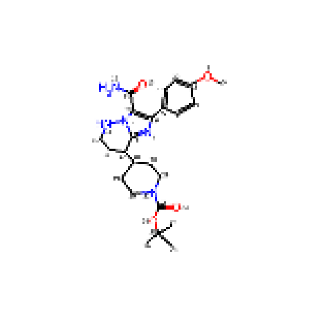 COc1ccc(-c2nc3n(c2C(N)=O)NCCC3C2CCN(C(=O)OC(C)(C)C)CC2)cc1